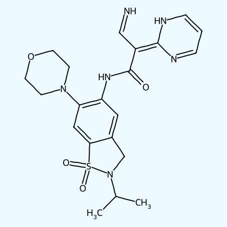 CC(C)N1Cc2cc(NC(=O)/C(C=N)=C3\N=CC=CN3)c(N3CCOCC3)cc2S1(=O)=O